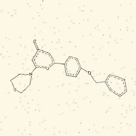 O=c1cc(-c2ccc(OCc3ccccc3)cc2)oc(N2CCOCC2)c1